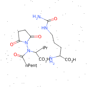 CCCCCC(=O)N(C(C(=O)O)C(C)C)N1C(=O)CCC1=O.NC(=O)NCCCC(N)C(=O)O